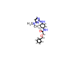 CN(C)c1ccnc(N[C@H]2CC[C@@H](NC(=O)COCc3ccccc3)CC2)n1